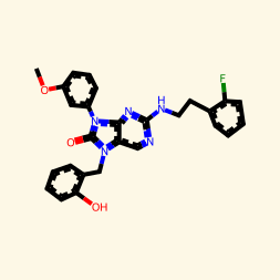 COc1cccc(-n2c(=O)n(Cc3ccccc3O)c3cnc(NCCc4ccccc4F)nc32)c1